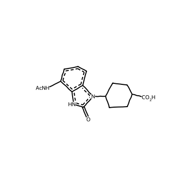 CC(=O)Nc1cccc2c1[nH]c(=O)n2C1CCC(C(=O)O)CC1